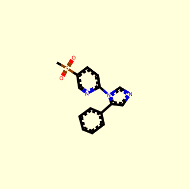 CS(=O)(=O)c1ccc(-n2cncc2-c2ccccc2)nc1